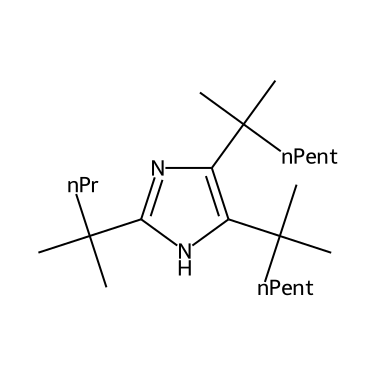 CCCCCC(C)(C)c1nc(C(C)(C)CCC)[nH]c1C(C)(C)CCCCC